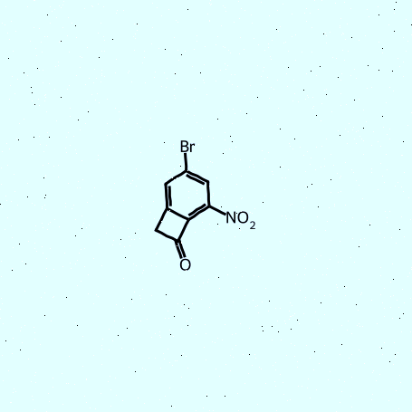 O=C1Cc2cc(Br)cc([N+](=O)[O-])c21